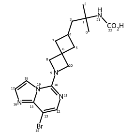 CC(C)(CC1CC2(C1)CN(c1ncc(Br)c3nccn13)C2)NC(=O)O